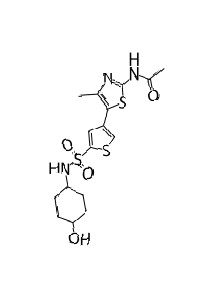 CC(=O)Nc1nc(C)c(-c2csc(S(=O)(=O)NC3CCC(O)CC3)c2)s1